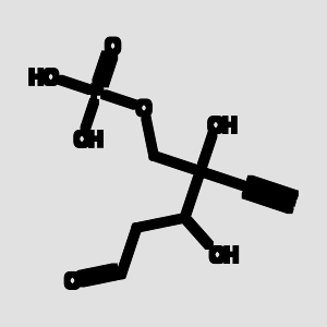 C#CC(O)(COP(=O)(O)O)C(O)CC=O